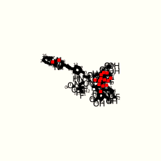 COC(=O)N[C@H](C(=O)N[C@@H](Cc1ccc(C#Cc2cnc(N3CC4CCC(C3)N4C3COC3)nc2)cc1)[C@H](CN(Cc1c(F)cc(-c2ccn(C(F)F)n2)cc1F)NC(=O)[C@@H](NC(=O)OC)C(C)(C)C(F)(F)F)OC(=O)CC(C)(C)c1c(CC(=O)Nc2cc(C(=O)O)cc(C(=O)O)c2)cccc1OP(=O)(O)O)C(C)(C)C(F)(F)F